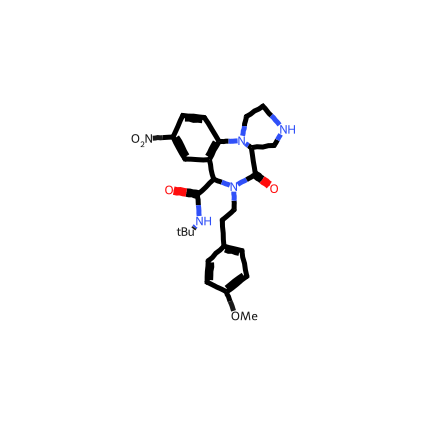 COc1ccc(CCN2C(=O)C3CNCCN3c3ccc([N+](=O)[O-])cc3C2C(=O)NC(C)(C)C)cc1